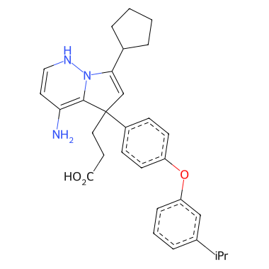 CC(C)c1cccc(Oc2ccc(C3(CCC(=O)O)C=C(C4CCCC4)N4NC=CC(N)=C43)cc2)c1